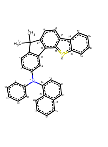 CC1(C)c2ccc(N(c3ccccc3)c3cccc4ccccc34)cc2-c2c1ccc1c2sc2ccccc21